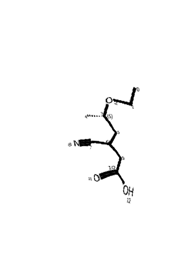 CCO[C@@H](C)CC(C#N)CC(=O)O